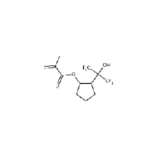 C=C(C)C(=O)OC1CCCC1C(O)(C(F)(F)F)C(F)(F)F